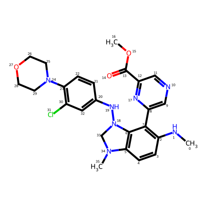 CNc1ccc2c(c1-c1cncc(C(=O)OC)n1)N(Nc1ccc(N3CCOCC3)c(Cl)c1)CN2C